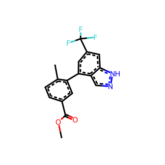 COC(=O)c1ccc(C)c(-c2cc(C(F)(F)F)cc3[nH]ncc23)c1